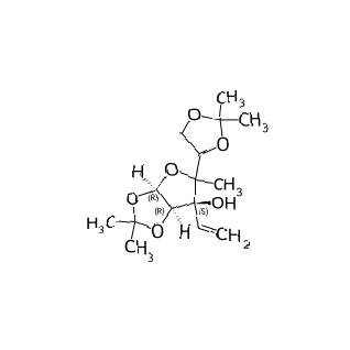 C=C[C@]1(O)[C@H]2OC(C)(C)O[C@H]2OC1(C)C1COC(C)(C)O1